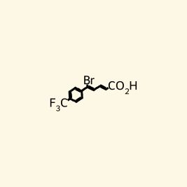 O=C(O)/C=C/C=C(\Br)c1ccc(C(F)(F)F)cc1